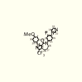 COc1ccc(-n2nc(C(F)(F)F)c3c2C(=O)N(c2ccc(-n4ccnc4)c(F)c2)CCC3)cc1